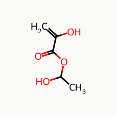 C=C(O)C(=O)OC(C)O